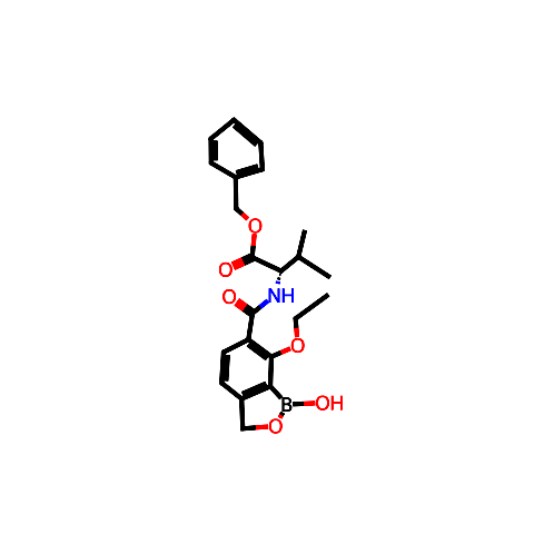 CCOc1c(C(=O)N[C@H](C(=O)OCc2ccccc2)C(C)C)ccc2c1B(O)OC2